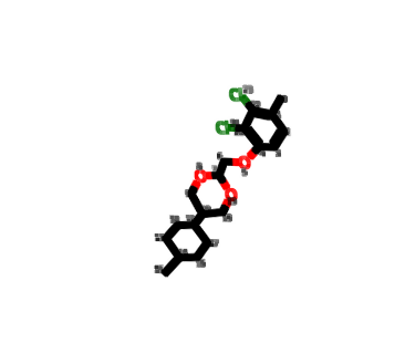 Cc1ccc(OCC2OCC(C3CCC(C)CC3)CO2)c(Cl)c1Cl